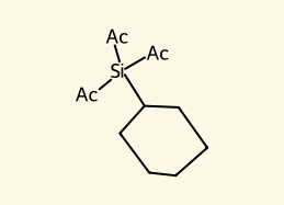 CC(=O)[Si](C(C)=O)(C(C)=O)C1CCCCC1